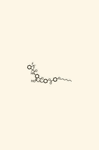 CCCCCCCOc1ccc(C(=O)Oc2ccc(CN(CC(=O)O)C(=O)c3ccc(NC(=O)C(C)(C)c4ccccc4C(C)(F)F)cc3)cc2)cc1